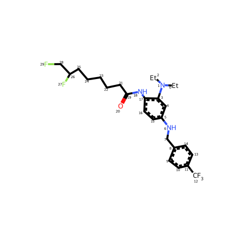 CCN(CC)c1cc(NCc2ccc(C(F)(F)F)cc2)ccc1NC(=O)CCCCCC(F)CF